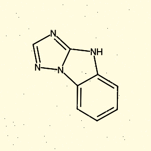 c1ccc2c(c1)[nH]c1ncnn12